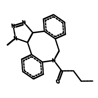 CCCC(=O)N1Cc2ccccc2C2N=NN(C)C2c2ccccc21